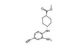 COC(=O)[C@H]1CC[C@H](Nc2ccc(C#N)cc2N)CC1